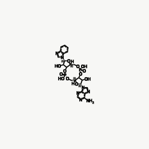 Nc1ncnc2c1ncn2[C@@H]1O[C@@H]2COP(=O)(O)OC3C(O)[C@H](n4cnc5ccccc54)O[C@@H]3COP(=O)(O)OC2C1O